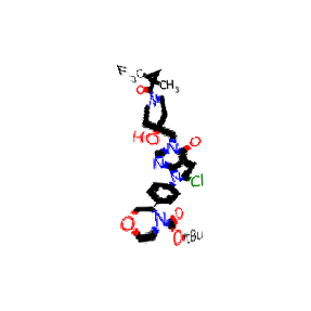 CC(C)(C)OC(=O)N1CCOC[C@@H]1c1ccc(-n2c(Cl)cc3c(=O)n(CC4(O)CCN(C(=O)C5(C)CC5C(F)(F)F)CC4)cnc32)cc1